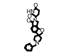 O=C1CCC(N2Cc3c(ccc4c3OCC43CCN(Cc4ccccc4)CC3)C2=O)C(=O)N1